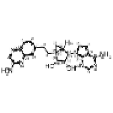 Nc1cnc2ccc(CC[C@@]34C[C@@H]3[C@@H](n3ccc5c(N)ncnc53)[C@H](O)[C@@H]4O)cc2n1